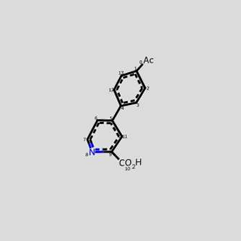 CC(=O)c1ccc(-c2ccnc(C(=O)O)c2)cc1